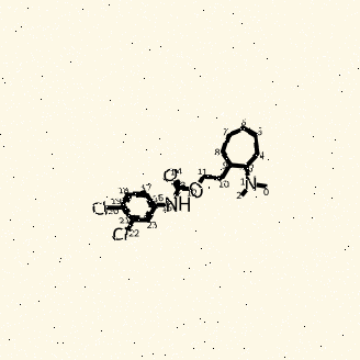 CN(C)C1CCCCCC1CCOC(=O)Nc1ccc(Cl)c(Cl)c1